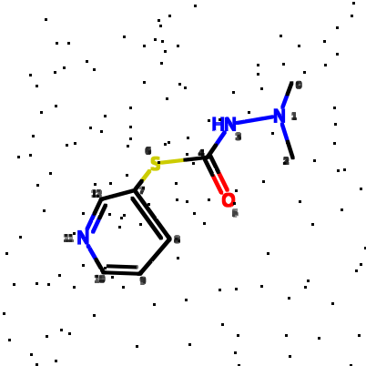 CN(C)NC(=O)Sc1cccnc1